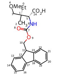 CC[C@](C)(COC)[C@@H](NC(=O)OCC1c2ccccc2-c2ccccc21)C(=O)O